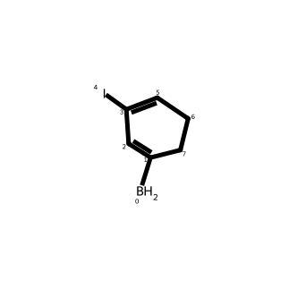 BC1=CC(I)=CCC1